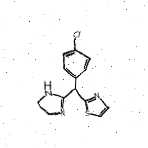 Clc1ccc(C(C2=NCCN2)c2nccs2)cc1